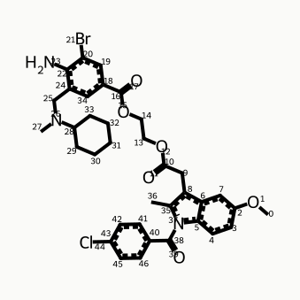 COc1ccc2c(c1)c(CC(=O)OCCOC(=O)c1cc(Br)c(N)c(CN(C)C3CCCCC3)c1)c(C)n2C(=O)c1ccc(Cl)cc1